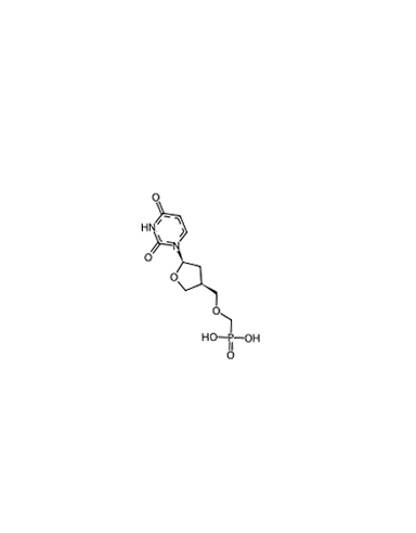 O=c1ccn([C@H]2C[C@@H](COCP(=O)(O)O)CO2)c(=O)[nH]1